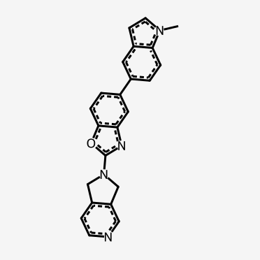 Cn1ccc2cc(-c3ccc4oc(N5Cc6ccncc6C5)nc4c3)ccc21